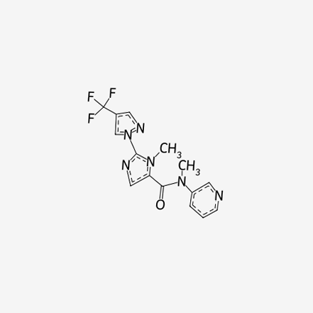 CN(C(=O)c1cnc(-n2cc(C(F)(F)F)cn2)n1C)c1cccnc1